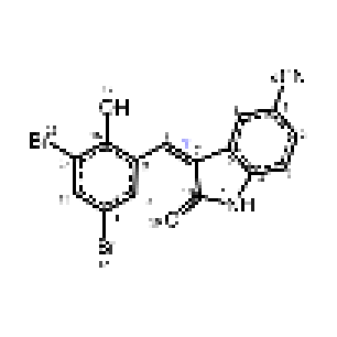 N#Cc1ccc2c(c1)/C(=C/c1cc(Br)cc(Br)c1O)C(=O)N2